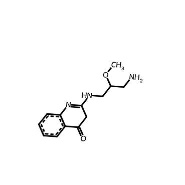 COC(CN)CNC1=Nc2ccccc2C(=O)C1